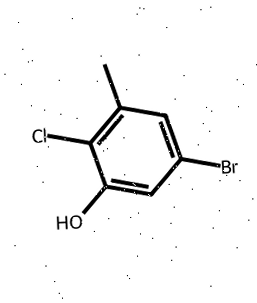 Cc1cc(Br)cc(O)c1Cl